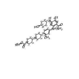 CCc1nc(C(N)=O)c(Nc2ccc(C3CCN(C4CCN(C(=O)OC(C)(C)C)CC4)CC3)c(C)c2)nc1N[C@H]1CC[C@H](O)CC1